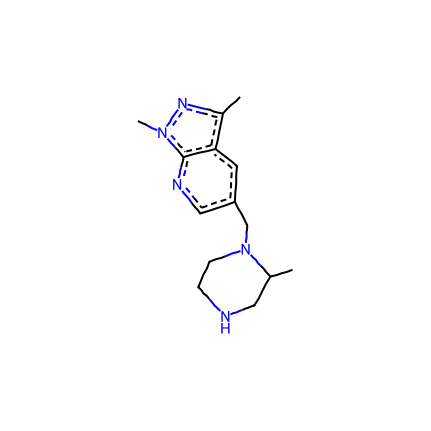 Cc1nn(C)c2ncc(CN3CCNCC3C)cc12